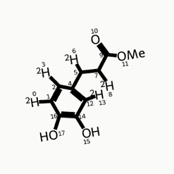 [2H]c1c([2H])c(C([2H])C([2H])C(=O)OC)c([2H])c(O)c1O